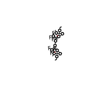 C=Cc1ccc(C2(c3cc(C)ccc3C)c3ccccc3-c3ccc(N(c4ccc(-c5ccc(N(c6ccc7c(c6)C(c6ccc(C=C)cc6)(c6cc(C)ccc6C)c6ccccc6-7)c6cc(F)cc(F)c6F)cc5)cc4)c4cc(F)cc(F)c4F)cc32)cc1